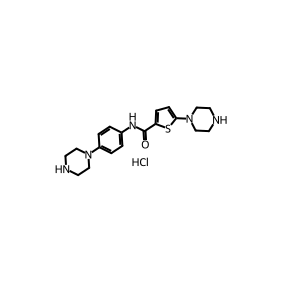 Cl.O=C(Nc1ccc(N2CCNCC2)cc1)c1ccc(N2CCNCC2)s1